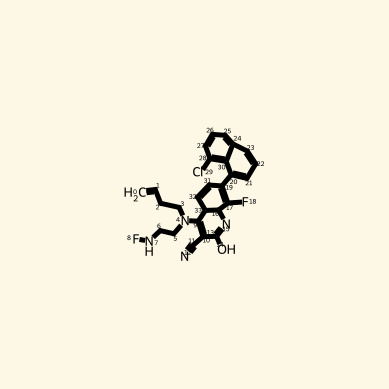 C=CCCN(CCNF)C1=C(C#N)C(O)=NC2C(F)=C(c3cccc4cccc(Cl)c34)C=CC12